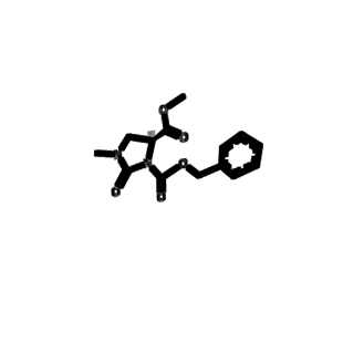 COC(=O)[C@@H]1CN(C)C(=O)N1C(=O)OCc1ccccc1